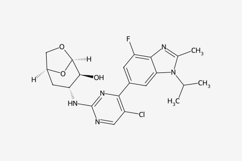 Cc1nc2c(F)cc(-c3nc(N[C@@H]4C[C@H]5CO[C@H](O5)[C@H]4O)ncc3Cl)cc2n1C(C)C